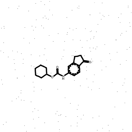 O=C(Nc1ccc2c(c1)CCC2=O)OC1CCCCC1